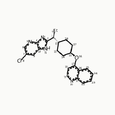 CCC(c1nc2ncc(Cl)cc2[nH]1)[C@H]1CC[C@H](Oc2ccnc3ccccc23)CC1